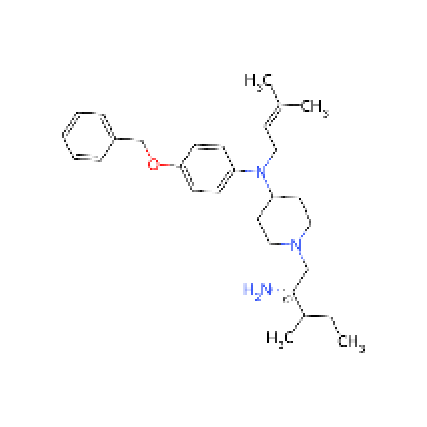 CCC(C)[C@H](N)CN1CCC(N(CC=C(C)C)c2ccc(OCc3ccccc3)cc2)CC1